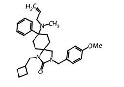 C=CCN(C)C1(c2ccccc2)CCC2(CC1)CN(Cc1ccc(OC)cc1)C(=O)N2CC1CCC1